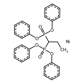 CCC(P(=O)(Oc1ccccc1)Oc1ccccc1)P(=O)(Oc1ccccc1)Oc1ccccc1.[Ni]